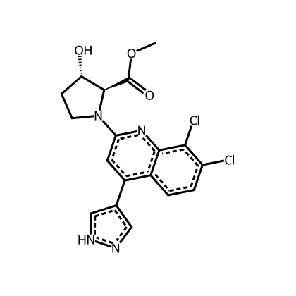 COC(=O)[C@@H]1[C@@H](O)CCN1c1cc(-c2cn[nH]c2)c2ccc(Cl)c(Cl)c2n1